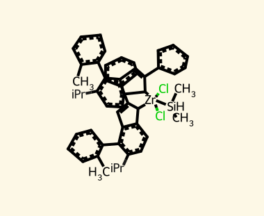 Cc1ccccc1-c1c(C(C)C)ccc2c1C=C(c1ccccc1)[CH]2[Zr]([Cl])([Cl])([CH]1C(c2ccccc2)=Cc2c1ccc(C(C)C)c2-c1ccccc1C)[SiH](C)C